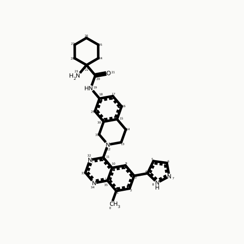 Cc1cc(-c2ccn[nH]2)cc2c(N3CCc4ccc(NC(=O)C5(N)CCCCC5)cc4C3)ncnc12